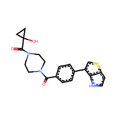 O=C(c1ccc(-c2csc3cc[nH]c23)cc1)N1CCN(C(=O)C2(O)CC2)CC1